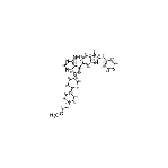 COCCN1CCN(C2CCC(n3nc(-c4ccc5[nH]c(Cc6ccccc6)nc5c4)c4c(N)ncnc43)CC2)CC1